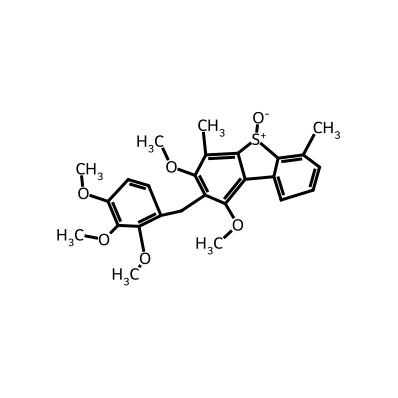 COc1ccc(Cc2c(OC)c(C)c3c(c2OC)c2cccc(C)c2[s+]3[O-])c(OC)c1OC